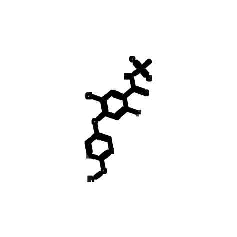 CC(C)Oc1ncc(Oc2cc(F)c(C(=O)NS(C)(=O)=O)cc2Cl)cn1